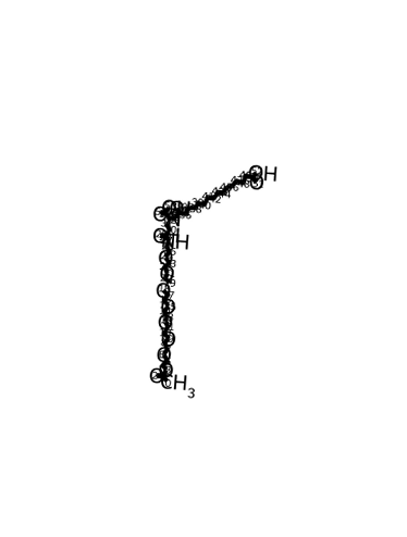 CC(=O)OCCOCCOCCOCCOCCOCCOCCOCCNC(=O)CC[C@H](NC(=O)CCCCCCCCCCCCCCC(=O)O)C(=O)O